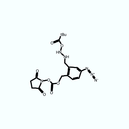 CC(C)(C)C(=O)ONNCc1cc(N=[N+]=[N-])ccc1COC(=O)ON1C(=O)CCC1=O